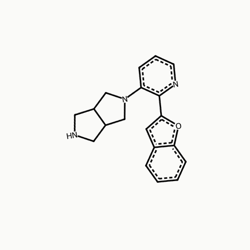 c1cnc(-c2cc3ccccc3o2)c(N2CC3CNCC3C2)c1